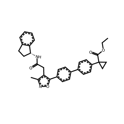 CCOC(=O)C1(c2ccc(-c3ccc(-c4onc(C)c4CC(=O)N[C@@H]4CCc5ccccc54)cc3)cc2)CC1